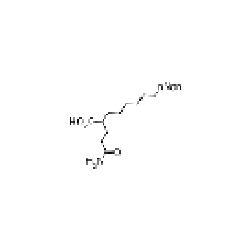 CCCCCCCCCCCCCCCC(CCC(N)=O)C(=O)O